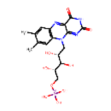 Cc1cc2nc3c(=O)[nH]c(=O)nc-3n(C[C@@H](O)[C@@H](O)[C@@H](O)CO[PH](O)(O)O)c2cc1C